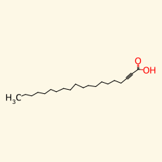 CCCCCCCCCCCCCCCCCC#CC(=O)O